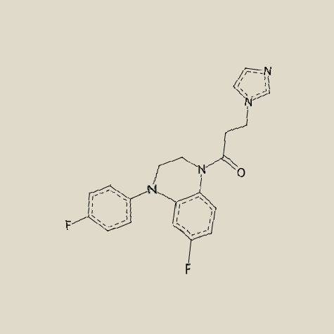 O=C(CCn1ccnc1)N1CCN(c2ccc(F)cc2)c2cc(F)ccc21